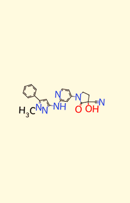 Cn1nc(Nc2cc(N3CC[C@](O)(C#N)C3=O)ccn2)cc1-c1ccccc1